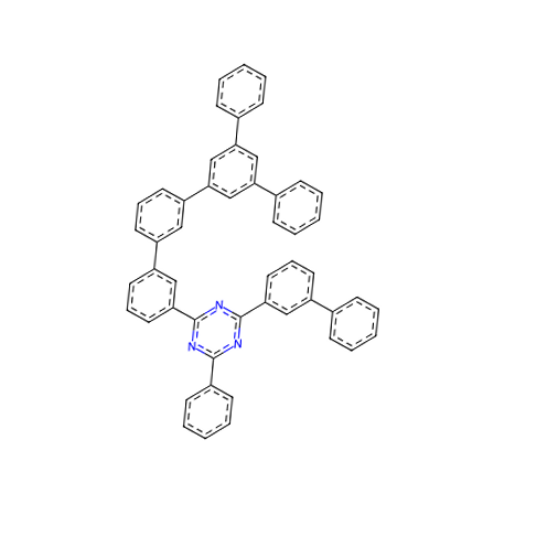 c1ccc(-c2cc(-c3ccccc3)cc(-c3cccc(-c4cccc(-c5nc(-c6ccccc6)nc(-c6cccc(-c7ccccc7)c6)n5)c4)c3)c2)cc1